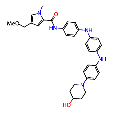 COCc1cc(C(=O)Nc2ccc(Nc3ccc(Nc4ccc(N5CCC(O)CC5)cc4)cc3)cc2)n(C)c1